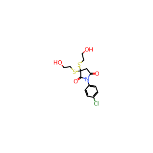 O=C1CC(SCCO)(SCCO)C(=O)N1c1ccc(Cl)cc1